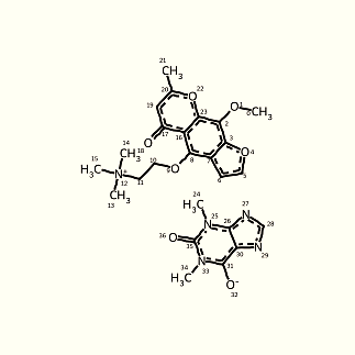 COc1c2occc2c(OCC[N+](C)(C)C)c2c(=O)cc(C)oc12.Cn1c2ncnc-2c([O-])n(C)c1=O